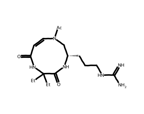 CCC1(CC)NC(=O)/C=C\N(C(C)=O)C[C@H](CCCNC(=N)N)NC1=O